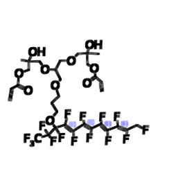 C=CC(=O)OCC(C)(O)COCC(COCCCOC(F)(/C(F)=C(F)/C(F)=C(F)/C(F)=C(F)/C(F)=C(\F)CF)C(F)(F)C(F)(F)F)OCC(C)(O)COC(=O)C=C